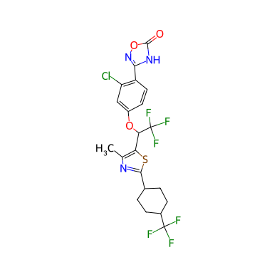 Cc1nc(C2CCC(C(F)(F)F)CC2)sc1C(Oc1ccc(-c2noc(=O)[nH]2)c(Cl)c1)C(F)(F)F